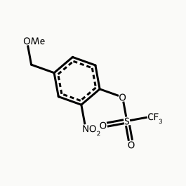 COCc1ccc(OS(=O)(=O)C(F)(F)F)c([N+](=O)[O-])c1